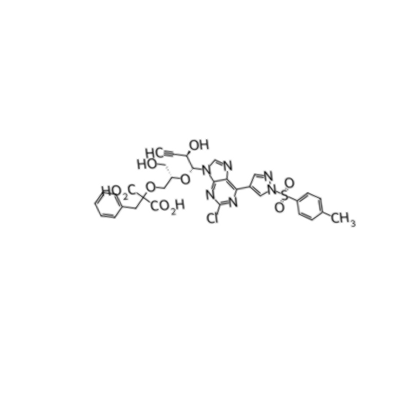 C#C[C@@H](O)[C@@H](O[C@@H](CO)COC(Cc1ccccc1)(C(=O)O)C(=O)O)n1cnc2c(-c3cnn(S(=O)(=O)c4ccc(C)cc4)c3)nc(Cl)nc21